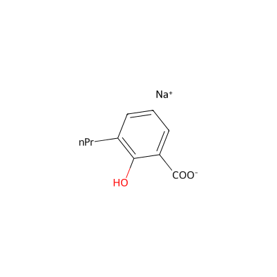 CCCc1cccc(C(=O)[O-])c1O.[Na+]